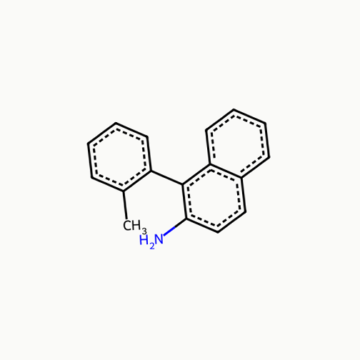 Cc1ccccc1-c1c(N)ccc2ccccc12